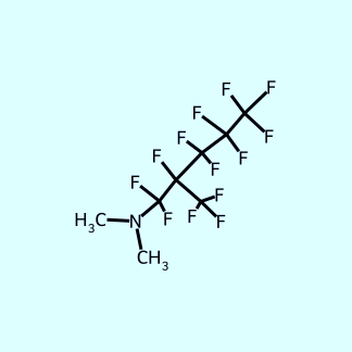 CN(C)C(F)(F)C(F)(C(F)(F)F)C(F)(F)C(F)(F)C(F)(F)F